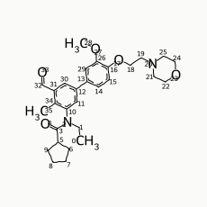 CCN(C(=O)C1CCCC1)c1cc(-c2ccc(OCCN3CCOCC3)c(OC)c2)cc(C=O)c1C